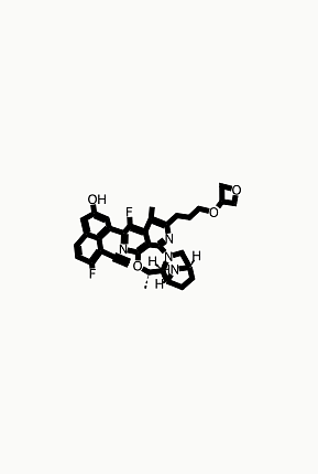 C#Cc1c(F)ccc2cc(O)cc(-c3nc4c5c(nc(CCCOC6COC6)c(C)c5c3F)N3C[C@H]5CC[C@H](N5)[C@H]3[C@H](C)O4)c12